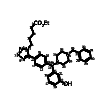 CCOC(=O)CCCCn1nnnc1-c1ccc([C@H](c2cccc(O)c2)N2CCN(Cc3ccccc3)CC2)cc1